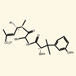 CN[C@H](C(=O)NC(C(=O)N(C)[C@H](/C=C(\C)C(=O)O)C(C)C)C(C)(C)C)C(C)(C)c1cccc(OC)c1